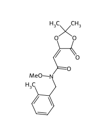 CON(Cc1ccccc1C)C(=O)C=C1OC(C)(C)OC1=O